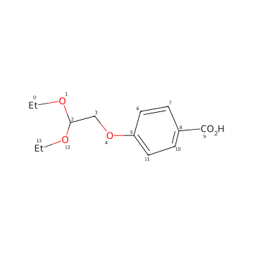 CCOC(COc1ccc(C(=O)O)cc1)OCC